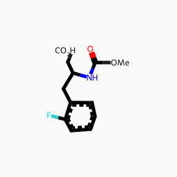 COC(=O)NC(CC(=O)O)Cc1ccccc1F